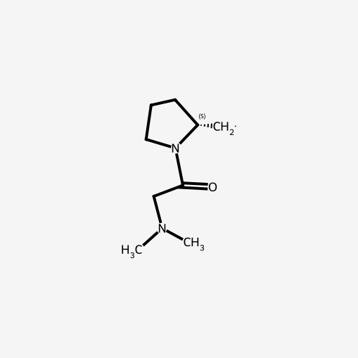 [CH2][C@H]1CCCN1C(=O)CN(C)C